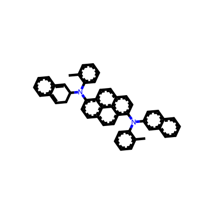 Cc1ccccc1N(c1ccc2ccccc2c1)c1ccc2ccc3c(N(c4ccccc4C)C4C=c5ccccc5=CC4)ccc4ccc1c2c43